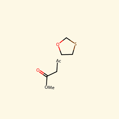 C1CSCO1.COC(=O)CC(C)=O